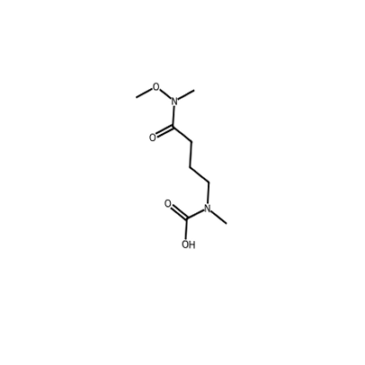 CON(C)C(=O)CCCN(C)C(=O)O